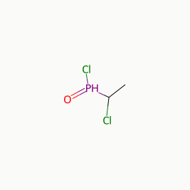 CC(Cl)[PH](=O)Cl